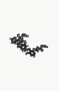 CC(C)(C)OC(=O)N1CC(Oc2cccc(F)c2CNc2cc(F)c(S(=O)(=O)N(C(=O)OC(C)(C)C)c3cscn3)c(F)c2)C1